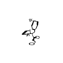 O=CCC(=O)C(Cc1ccc(Br)cc1)C1=NCCS1